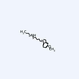 CCCSNSCCCCN1CCC2=CC(OC)=CCC=C21